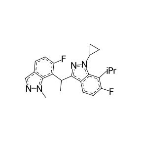 CC(C)c1c(F)ccc2c(C(C)c3c(F)ccc4cnn(C)c34)nn(C3CC3)c12